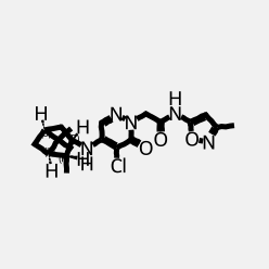 Cc1cc(NC(=O)Cn2ncc(N[C@@H]3C[C@@H]4C[C@H]([C@H]3C)C4(C)C)c(Cl)c2=O)on1